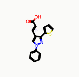 O=C(O)/C=C/c1cn(-c2ccccc2)nc1-c1cccs1